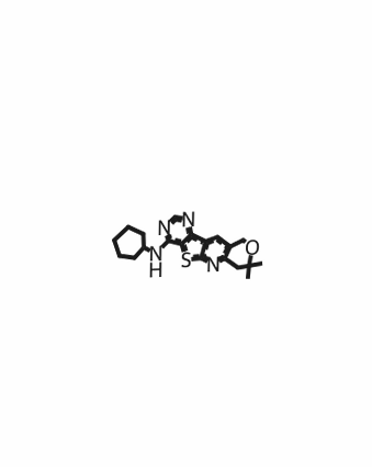 CC1(C)Cc2nc3sc4c(NC5CCCCC5)ncnc4c3cc2CO1